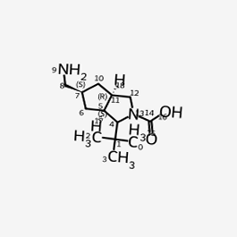 CC(C)(C)C1[C@H]2C[C@@H](CN)C[C@H]2CN1C(=O)O